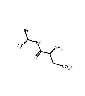 CC(C)C(NC(=O)C(N)CC(=O)O)C(=O)O